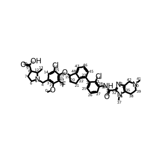 COc1c(CN2CCC(C(=O)O)C2C)cc(Cl)c(OC2CCc3c(-c4cccc(NC(=O)c5nc6c(n5C)CCN(C)C6)c4Cl)cccc32)c1F